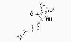 CCCCNC1NC(=O)N(C)C1=O